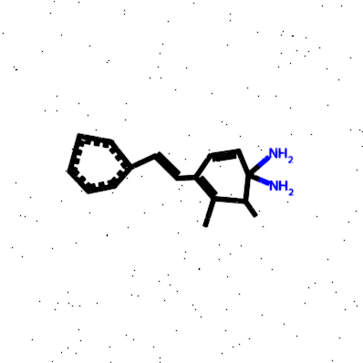 CC1=C(C=Cc2ccccc2)C=CC(N)(N)C1C